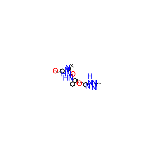 CCc1cncc(Nc2cc(COc3ccc(NC(=O)Nc4cc(C(C)(C)C)nn4-c4ccc(COC)cc4)c4ccccc34)ccn2)n1